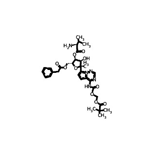 CC(C)[C@H](N)C(=O)O[C@H]1[C@@H](O)[C@](C)(c2ccc3c(NC(=O)OCOC(=O)C(C)(C)C)ncnn23)O[C@@H]1COC(=O)Cc1ccccc1